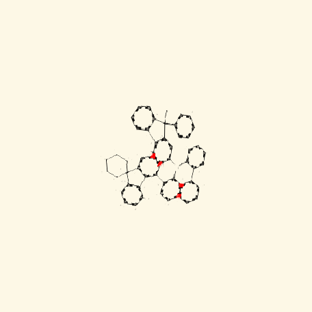 CC1(c2ccccc2)c2ccccc2-c2ccc(N(c3ccccc3-c3ccccc3)c3ccccc3-c3cccc4c3-c3ccccc3C43CCCCC3)cc21